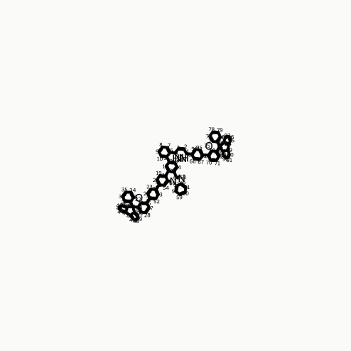 N=C(/C=C\C(=N)c1ccccc1-c1ccc2c(c1)c1ccc(-c3ccc(-c4cccc5c4Oc4ccccc4C54c5ccccc5-c5ccccc54)cc3)cc1n1c3ccccc3nc21)c1ccc(-c2cccc3c2Oc2ccccc2C32C3=C(C=CCC3)C3C=CC=CC32)cc1